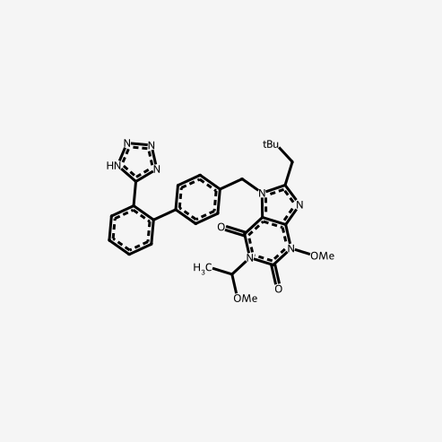 COC(C)n1c(=O)c2c(nc(CC(C)(C)C)n2Cc2ccc(-c3ccccc3-c3nnn[nH]3)cc2)n(OC)c1=O